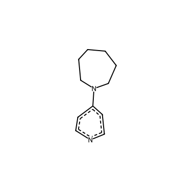 c1cc(N2CCCCCC2)ccn1